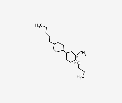 CCCCCC1CCC(C2CC[C@@H](OCCC)[C@H](C)C2)CC1